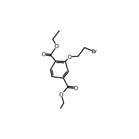 CCOC(=O)c1ccc(C(=O)OCC)c(OCCBr)c1